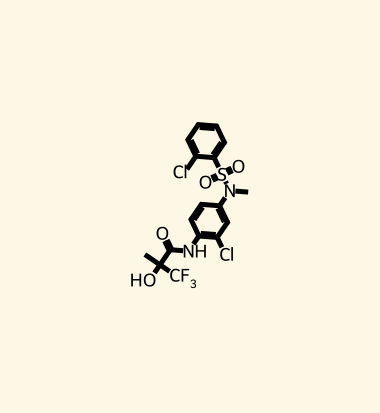 CN(c1ccc(NC(=O)C(C)(O)C(F)(F)F)c(Cl)c1)S(=O)(=O)c1ccccc1Cl